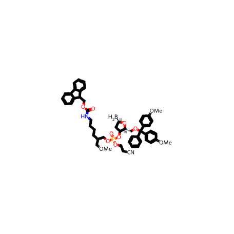 B[C@H]1CC(OP(=O)(OCCC#N)OCC(CCCCNC(=O)OCC2c3ccccc3-c3ccccc32)COC)[C@@H](COC(c2ccccc2)(c2ccc(OC)cc2)c2ccc(OC)cc2)O1